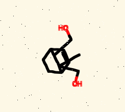 CC1(CO)C2C=CC(CC2)C1CO